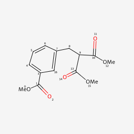 COC(=O)c1cccc(CC(C(=O)OC)C(=O)OC)c1